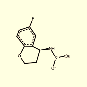 CC(C)(C)[S+]([O-])N[C@H]1CCOc2ccc(F)cc21